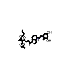 C=C1/C(=C\C=C2/CCC[C@]3(C)[C@@H]([C@H](C)CC[C@H](OC(=O)CCC)C4(c5nc(C)cs5)CC4)CC[C@@H]23)C[C@@H](O)C[C@@H]1O